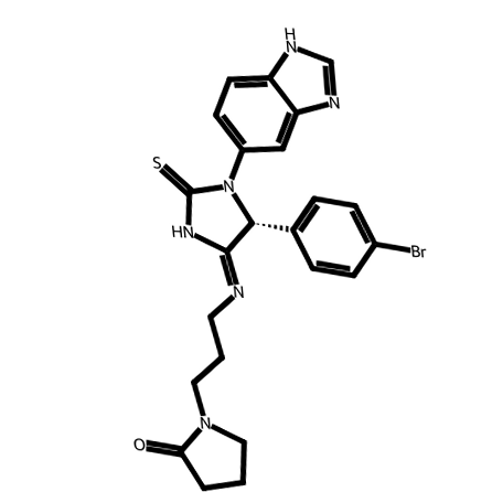 O=C1CCCN1CCC/N=C1\NC(=S)N(c2ccc3[nH]cnc3c2)[C@@H]1c1ccc(Br)cc1